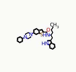 CCCCC(Cc1c[nH]c2ccccc12)NC(=O)c1cc2ccc(N3CCN(c4ccccc4)CC3)cc2s1